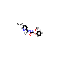 COc1ccc([C@@H](C)NC(=O)COc2ccccc2OC(F)(F)F)nc1